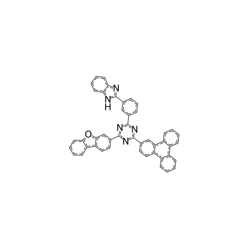 c1cc(-c2nc(-c3ccc4c(c3)oc3ccccc34)nc(-c3ccc4c5ccccc5c5ccccc5c4c3)n2)cc(-c2nc3ccccc3[nH]2)c1